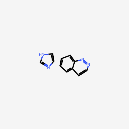 c1c[nH]cn1.c1ccc2nnccc2c1